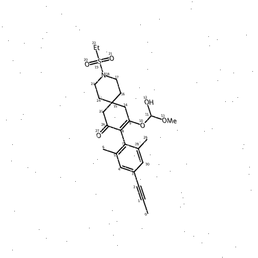 CC#Cc1cc(C)c(C2=C(OC(O)OC)CC3(CCN(S(=O)(=O)CC)CC3)CC2=O)c(C)c1